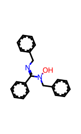 ON(Cc1ccccc1)/C(=N\Cc1ccccc1)c1ccccc1